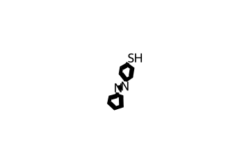 Sc1ccc(N=Nc2ccccc2)cc1